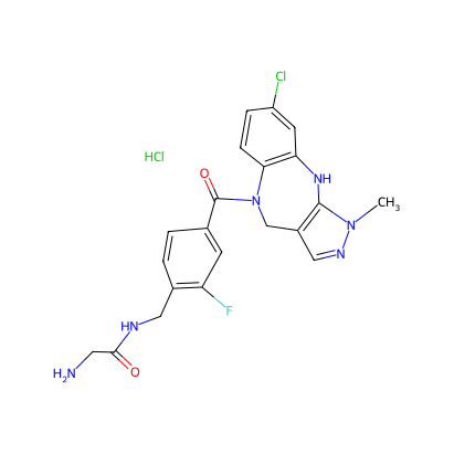 Cl.Cn1ncc2c1Nc1cc(Cl)ccc1N(C(=O)c1ccc(CNC(=O)CN)c(F)c1)C2